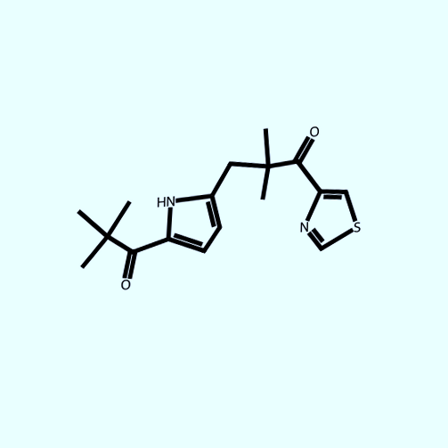 CC(C)(C)C(=O)c1ccc(CC(C)(C)C(=O)c2cscn2)[nH]1